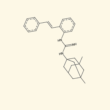 CC12CC3CC(C)(C1)CC(NC(=N)Nc1ccccc1/C=C/c1ccccc1)(C3)C2